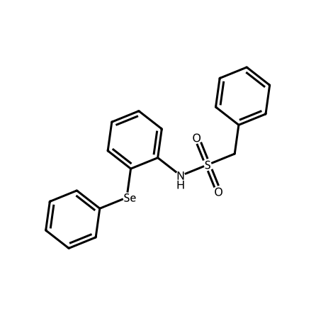 O=S(=O)(Cc1ccccc1)Nc1ccccc1[Se]c1ccccc1